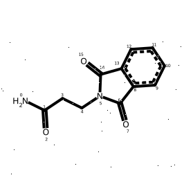 NC(=O)CCN1C(=O)c2ccccc2C1=O